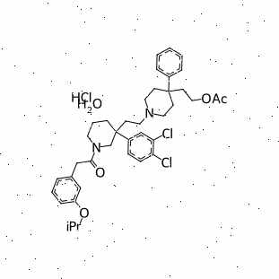 CC(=O)OCCC1(c2ccccc2)CCN(CCC2(c3ccc(Cl)c(Cl)c3)CCCN(C(=O)Cc3cccc(OC(C)C)c3)C2)CC1.Cl.O